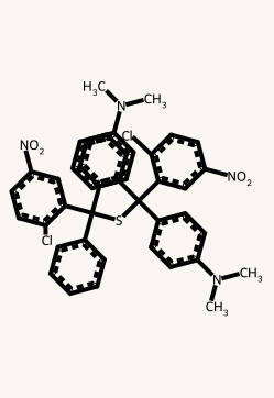 CN(C)c1ccc(C(SC(c2ccccc2)(c2ccc(N(C)C)cc2)c2cc([N+](=O)[O-])ccc2Cl)(c2ccccc2)c2cc([N+](=O)[O-])ccc2Cl)cc1